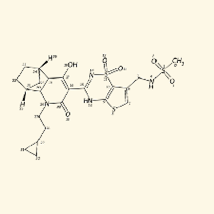 CS(=O)(=O)NCc1csc2c1S(=O)(=O)N=C(C1=C(O)C3C([C@@H]4CC[C@H]3C4)N(CCC3CC3)C1=O)N2